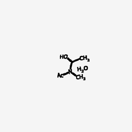 CC(=O)N(C)C(C)O.O